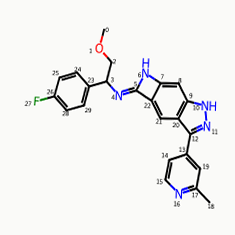 COCC(N=C1Nc2cc3[nH]nc(-c4ccnc(C)c4)c3cc21)c1ccc(F)cc1